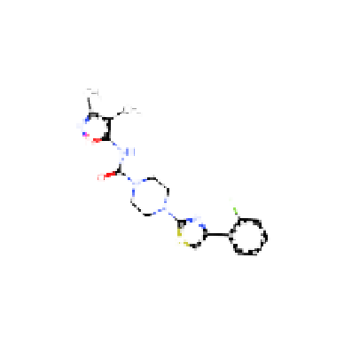 Cc1noc(NC(=O)N2CCN(c3nc(-c4ccccc4F)cs3)CC2)c1C